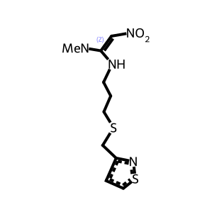 CN/C(=C/[N+](=O)[O-])NCCCSCc1ccsn1